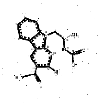 C[C@@H](Cn1c2ccccc2c2cc(C(N)=O)c(N)nc21)NC(=O)O